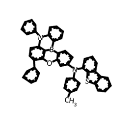 Cc1ccc(N(c2ccc3c(c2)Oc2c(-c4ccccc4)ccc4c2B3c2ccccc2N4c2ccccc2)c2cccc3c2sc2ccccc23)cc1